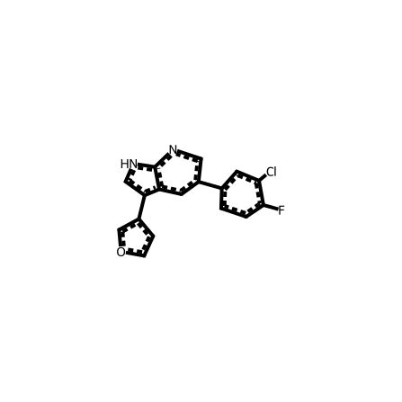 Fc1ccc(-c2cnc3[nH]cc(-c4ccoc4)c3c2)cc1Cl